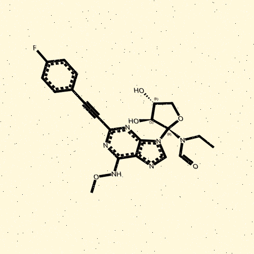 CCN(C=O)[C@]1(n2cnc3c(NOC)nc(C#Cc4ccc(F)cc4)nc32)OC[C@@H](O)[C@@H]1O